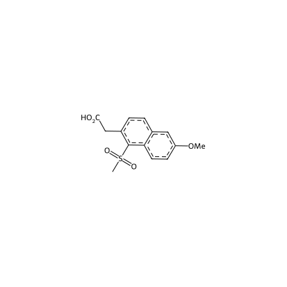 COc1ccc2c(S(C)(=O)=O)c(CC(=O)O)ccc2c1